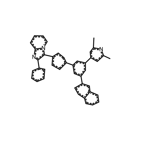 Cc1cc(-c2cc(-c3ccc(-c4c(-c5ccccc5)nc5ccccn45)cc3)cc(-c3ccc4ccccc4c3)c2)cc(C)n1